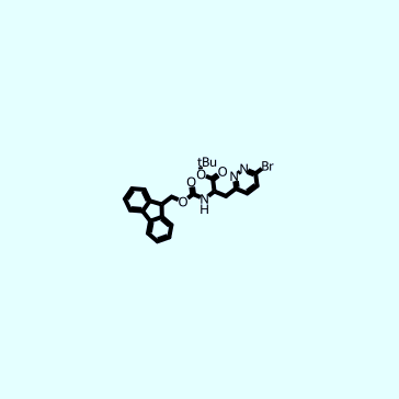 CC(C)(C)OC(=O)C(Cc1ccc(Br)nn1)NC(=O)OCC1c2ccccc2-c2ccccc21